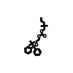 C=CCC(C)(C)COC(=O)OCCO[Si](c1ccccc1)(c1ccccc1)C(C)(C)C